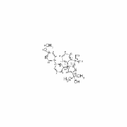 COc1ccc(-c2cccc([N+]3(c4ccccc4C(F)(F)F)C=NC(C(C)(C)O)=C3)c2)cn1